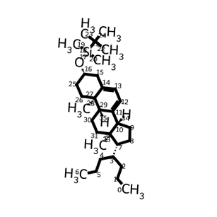 CCCC(CCC)[C@H]1CC[C@H]2C3=CC=C4C[C@@H](O[Si](C)(C)C(C)(C)C)CC[C@]4(C)[C@H]3CC[C@]12C